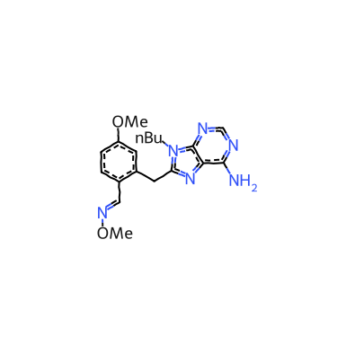 CCCCn1c(Cc2cc(OC)ccc2/C=N/OC)nc2c(N)ncnc21